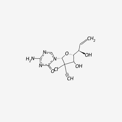 C#CC1(Cl)C(O)[C@@H]([C@H](O)C=C)O[C@H]1n1cnc(N)nc1=O